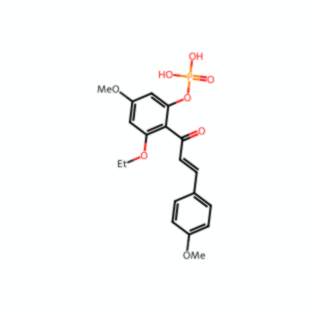 CCOc1cc(OC)cc(OP(=O)(O)O)c1C(=O)/C=C/c1ccc(OC)cc1